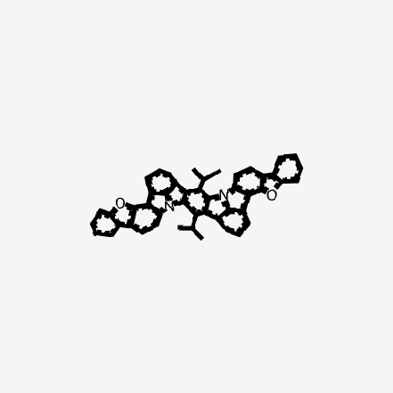 CC(C)c1c2c3cccc4c5c6oc7ccccc7c6ccc5n(c2c(C(C)C)c2c5cccc6c7c8oc9ccccc9c8ccc7n(c12)c56)c34